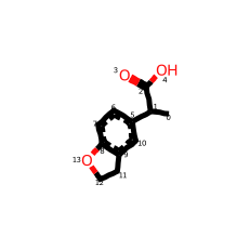 CC(C(=O)O)c1ccc2c(c1)CCO2